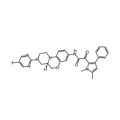 Cc1cc(-c2ccccc2)c(C(=O)C(=O)Nc2ccc3c(c2)OC[C@@H]2CN(c4ncc(F)cn4)CCN32)n1C